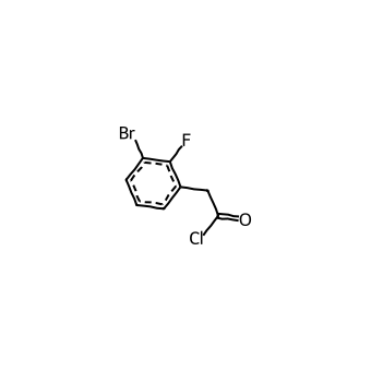 O=C(Cl)Cc1cccc(Br)c1F